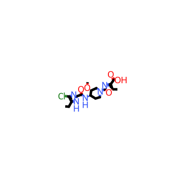 CCc1[nH]c(C(=O)N[C@@H]2CCN(c3nc(C(=O)O)c(C)o3)C[C@@H]2OC)nc1Cl